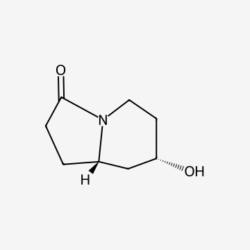 O=C1CC[C@H]2C[C@@H](O)CCN12